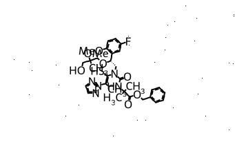 COc1ccc(F)cc1[C@H](CN(C(=O)NC(C)(C)C(=O)OCc1ccccc1)/C(S)=C(\C)n1nccn1)OCC(C)(CO)OC